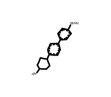 CCCC1CCC(c2ccc(-c3ccc(NC(C)=O)cc3)cc2)CC1